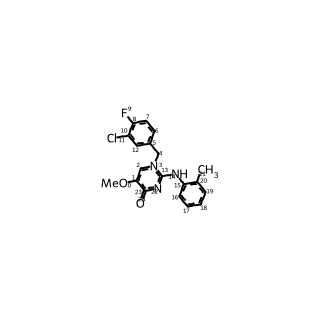 COc1cn(Cc2ccc(F)c(Cl)c2)c(Nc2ccccc2C)nc1=O